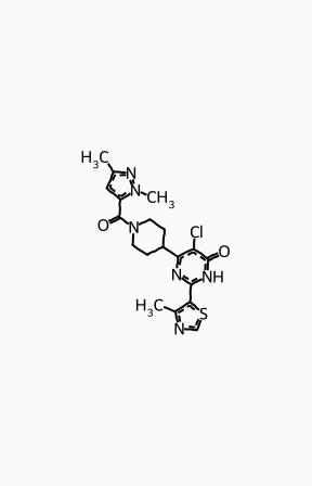 Cc1cc(C(=O)N2CCC(c3nc(-c4scnc4C)[nH]c(=O)c3Cl)CC2)n(C)n1